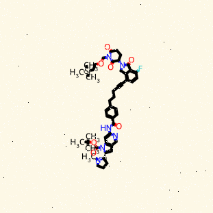 CN1CCC[C@@H]1c1cc2cnc(NC(=O)c3ccc(CCCC#Cc4ccc(F)c5c4CN(C4CCC(=O)N(COCC[Si](C)(C)C)C4=O)C5=O)cc3)cc2n1C(=O)OC(C)(C)C